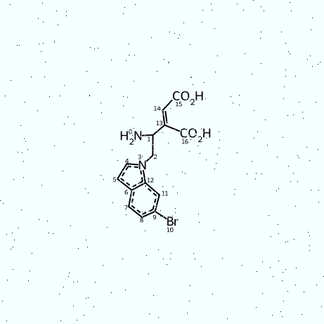 NC(Cn1ccc2ccc(Br)cc21)/C(=C/C(=O)O)C(=O)O